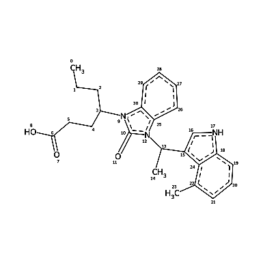 CCCC(CCC(=O)O)n1c(=O)n(C(C)c2c[nH]c3cccc(C)c23)c2ccccc21